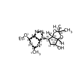 CCOc1nc(C)nc2c1nnn2[C@@H]1C[C@H](O)[C@H]2OC(C)(C)O[C@H]21